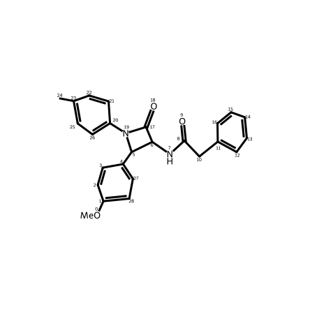 COc1ccc(C2C(NC(=O)Cc3ccccc3)C(=O)N2c2ccc(C)cc2)cc1